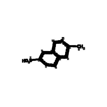 Cc1cc2ccc(S(=O)(=O)O)cc2cn1